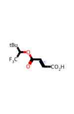 CC(C)(C)C(OC(=O)/C=C/C(=O)O)C(F)(F)F